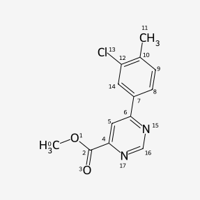 COC(=O)c1cc(-c2ccc(C)c(Cl)c2)ncn1